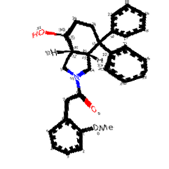 COc1ccccc1CC(=O)N1C[C@H]2[C@@H](C1)C(c1ccccc1)(c1ccccc1)CC[C@@H]2O